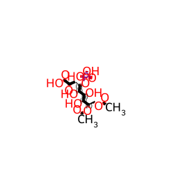 CC(=O)OC[C@@H](OC(C)=O)[C@@H](O)[C@H](O)[C@H](O)[C@H](CC(=O)C(=O)O)OP(=O)(O)O